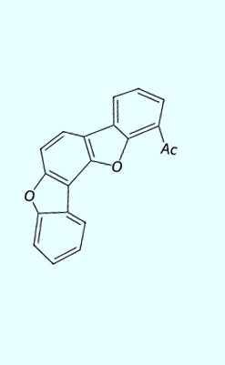 CC(=O)c1cccc2c1oc1c2ccc2oc3ccccc3c21